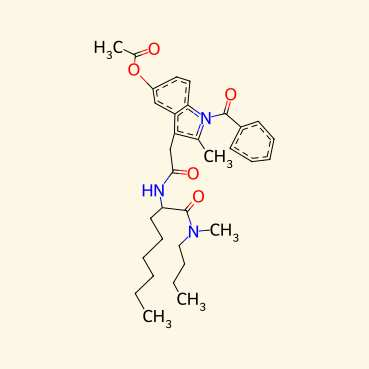 CCCCCCC(NC(=O)Cc1c(C)n(C(=O)c2ccccc2)c2ccc(OC(C)=O)cc12)C(=O)N(C)CCCC